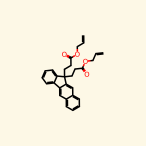 C=CCOC(=O)CCC1(CCC(=O)OCC=C)c2ccccc2-c2cc3ccccc3cc21